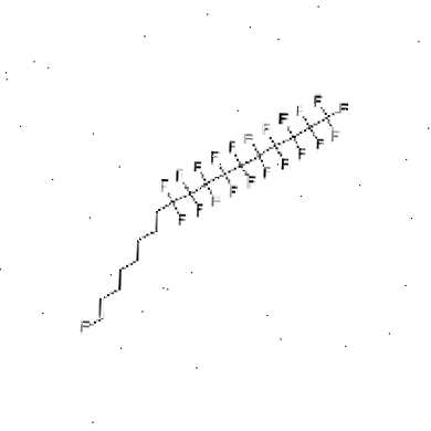 FC=CCCCCCCC(F)(F)C(F)(F)C(F)(F)C(F)(F)C(F)(F)C(F)(F)C(F)(F)C(F)(F)C(F)(F)C(F)(F)F